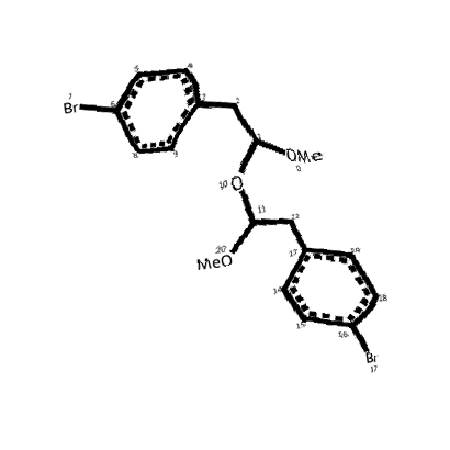 COC(Cc1ccc(Br)cc1)OC(Cc1ccc(Br)cc1)OC